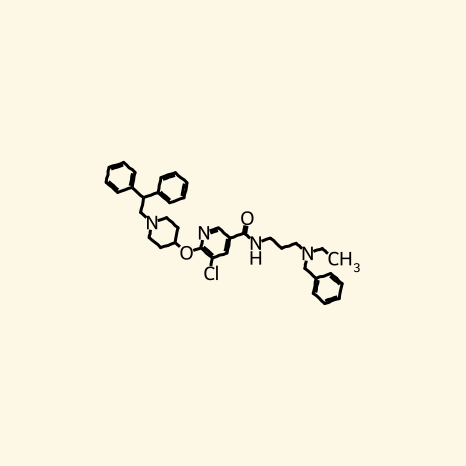 CCN(CCCNC(=O)c1cnc(OC2CCN(CC(c3ccccc3)c3ccccc3)CC2)c(Cl)c1)Cc1ccccc1